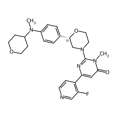 CN(c1ccc([C@H]2CN(c3nc(-c4ccncc4F)cc(=O)n3C)CCO2)cc1)C1CCOCC1